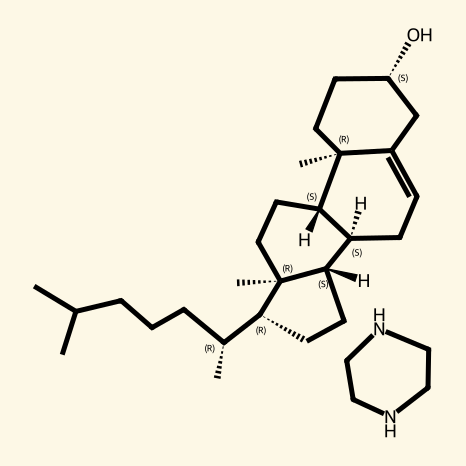 C1CNCCN1.CC(C)CCC[C@@H](C)[C@H]1CC[C@H]2[C@@H]3CC=C4C[C@@H](O)CC[C@]4(C)[C@H]3CC[C@]12C